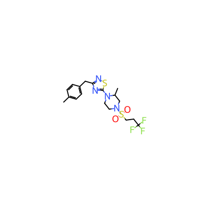 Cc1ccc(Cc2nsc(N3CCN(S(=O)(=O)CCC(F)(F)F)CC3C)n2)cc1